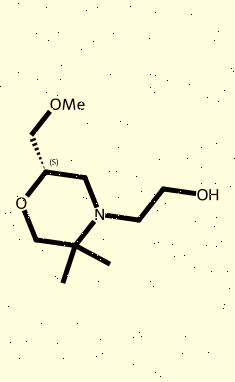 COC[C@@H]1CN(CCO)C(C)(C)CO1